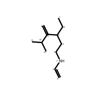 C=CNCCC(CC)C(=C)C(C)C